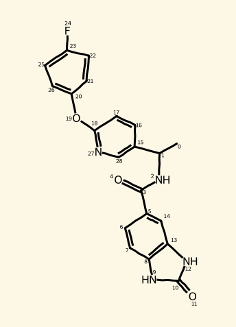 CC(NC(=O)c1ccc2[nH]c(=O)[nH]c2c1)c1ccc(Oc2ccc(F)cc2)nc1